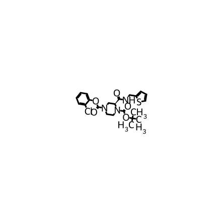 CC(C)(C)OC(=O)N1CCN(C(=O)Oc2ccccc2Cl)C[C@H]1C(=O)NCc1cccs1